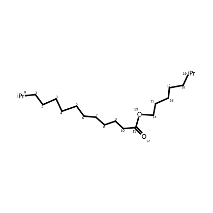 CC(C)CCCCCCCCCCC(=O)OCCCCCC(C)C